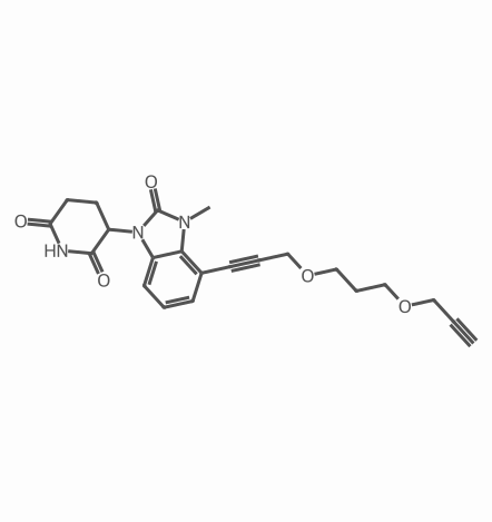 C#CCOCCCOCC#Cc1cccc2c1n(C)c(=O)n2C1CCC(=O)NC1=O